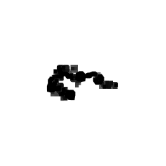 CNC1CCN(CC#Cc2ccc(OCCCc3sc(N4CCc5cccc(C(=O)Nc6nc7ccccc7s6)c5C4)nc3C(=O)O)c(F)c2)CC1